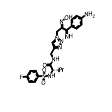 CC(C)[C@H](NS(=O)(=O)c1ccc(F)cc1)C(=O)NCc1cn(C/C(=N/O)C(=N)c2ccc(N)cc2)nn1